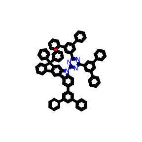 C1=CCC(c2cc(-c3ccccc3)cc(-c3ccc4c(c3)c3cc5c(cc3n4-c3nc(-c4cc(-c6ccccc6)cc(-c6ccccc6)c4)nc(-c4cc(-c6ccccc6)cc(-c6ccccc6)c4)n3)C(c3ccccc3)(c3ccccc3)c3ccccc3-5)c2)C=C1